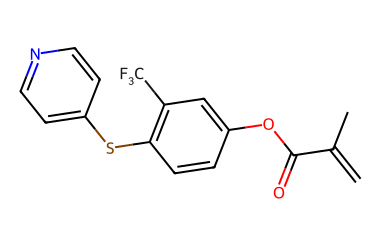 C=C(C)C(=O)Oc1ccc(Sc2ccncc2)c(C(F)(F)F)c1